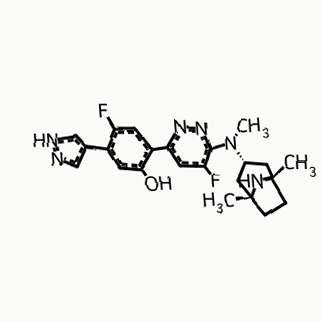 CN(c1nnc(-c2cc(F)c(-c3cn[nH]c3)cc2O)cc1F)[C@@H]1C[C@]2(C)CC[C@](C)(C1)N2